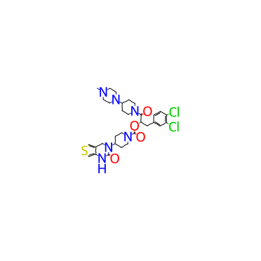 CN1CCN(C2CCN(C(=O)C(Cc3ccc(Cl)c(Cl)c3)OC(=O)N3CCC(N4Cc5cscc5NC4=O)CC3)CC2)CC1